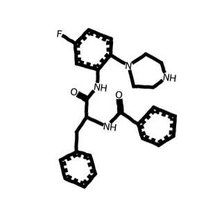 O=C(NC(Cc1ccccc1)C(=O)Nc1cc(F)ccc1N1CCNCC1)c1ccccc1